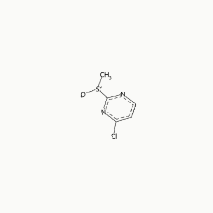 C[S+]([O-])c1nccc(Cl)n1